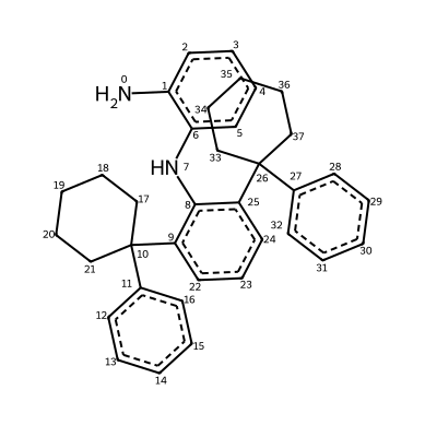 Nc1ccccc1Nc1c(C2(c3ccccc3)CCCCC2)cccc1C1(c2ccccc2)CCCCC1